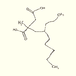 CCCCCC(CCC)CC(C)(CC(=O)O)C(=O)O